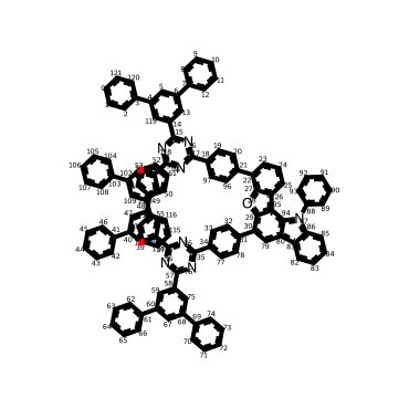 c1ccc(-c2cc(-c3ccccc3)cc(-c3nc(-c4ccc(-c5cccc6c5oc5c(-c7ccc(-c8nc(-c9cc(-c%10ccccc%10)cc(-c%10ccccc%10)c9)nc(-c9cc(-c%10ccccc%10)cc(-c%10ccccc%10)c9)n8)cc7)cc7c8ccccc8n(-c8ccccc8)c7c56)cc4)nc(-c4cc(-c5ccccc5)cc(-c5ccccc5)c4)n3)c2)cc1